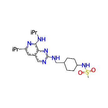 CC(C)Nc1nc(C(C)C)cc2cnc(NCC3CCC(NS(C)(=O)=O)CC3)nc12